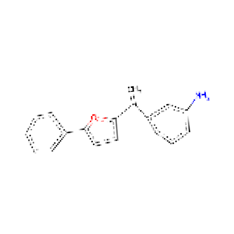 C=C(c1cccc(N)c1)c1ccc(-c2ccccc2)o1